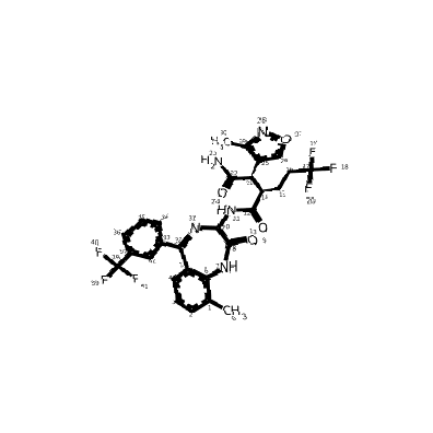 Cc1cccc2c1NC(=O)C(NC(=O)[C@H](CCC(F)(F)F)[C@@H](C(N)=O)c1conc1C)N=C2c1cccc(C(F)(F)F)c1